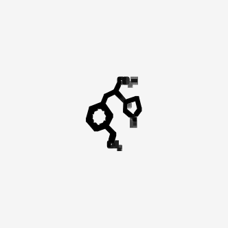 C=Cc1cccc(CC(C(=O)O)[C@H]2CCNC2)c1